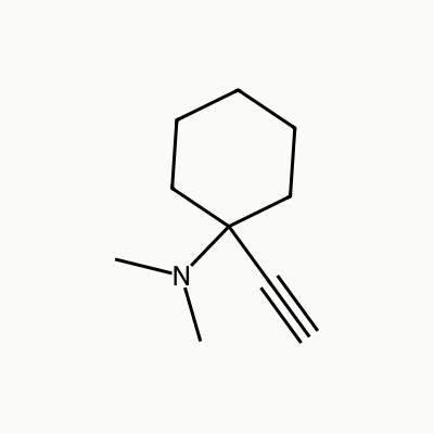 C#CC1(N(C)C)CCCCC1